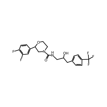 O=C(NCC(O)Cc1ccc(C(F)(F)F)cc1)N1CCOC(c2ccc(F)c(F)c2)C1